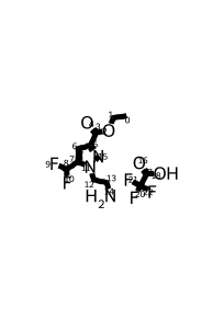 CCOC(=O)c1cc(C(F)F)n(CCN)n1.O=C(O)C(F)(F)F